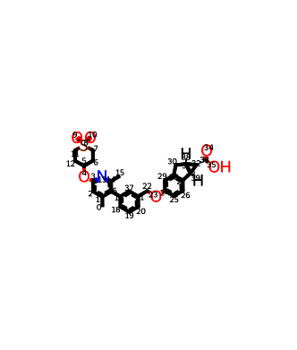 Cc1cc(OC2CCS(=O)(=O)CC2)nc(C)c1-c1cccc(COc2ccc3c(c2)C[C@H]2[C@H](C(=O)O)[C@@H]32)c1